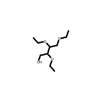 CCOCC(OCC)C(CO)OCC